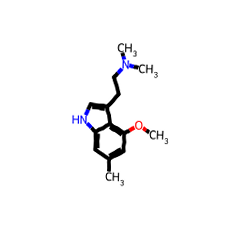 COc1cc(C)cc2[nH]cc(CCN(C)C)c12